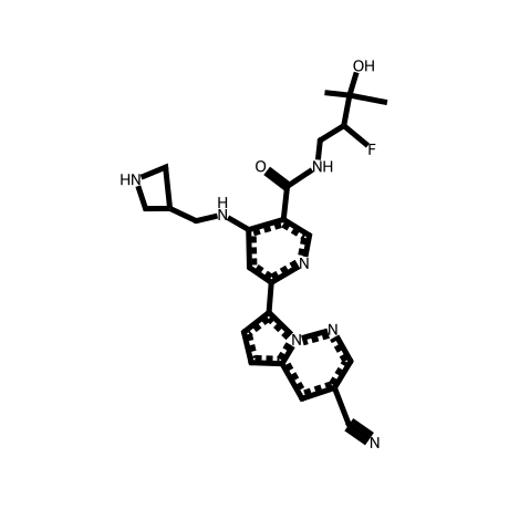 CC(C)(O)C(F)CNC(=O)c1cnc(-c2ccc3cc(C#N)cnn23)cc1NCC1CNC1